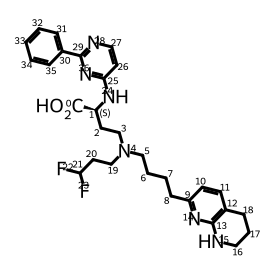 O=C(O)[C@H](CCN(CCCCc1ccc2c(n1)NCCC2)CCC(F)F)Nc1ccnc(-c2ccccc2)n1